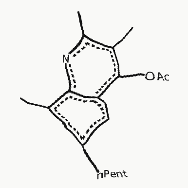 CCCCCc1cc(C)c2nc(C)c(C)c(OC(C)=O)c2c1